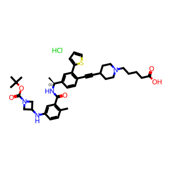 Cc1ccc(NC2CN(C(=O)OC(C)(C)C)C2)cc1C(=O)N[C@@H](C)c1ccc(C#CC2CCN(CCCCC(=O)O)CC2)c(-c2cccs2)c1.Cl